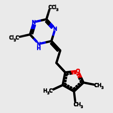 Cc1oc(CC=C2N=C(C(Cl)(Cl)Cl)N=C(C(Cl)(Cl)Cl)N2)c(C)c1C